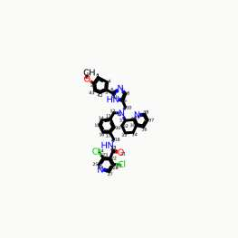 COc1ccc(-c2ncc(CN(Cc3cccc(CNC(=O)c4c(Cl)cncc4Cl)c3)C3CCCc4cccnc43)[nH]2)cc1